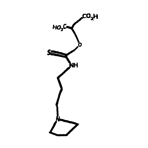 O=C(O)C(OC(=S)NCCCN1CCC1)C(=O)O